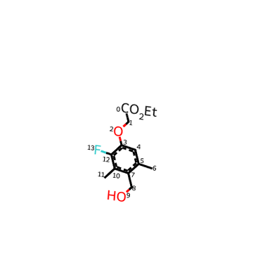 CCOC(=O)COc1cc(C)c(CO)c(C)c1F